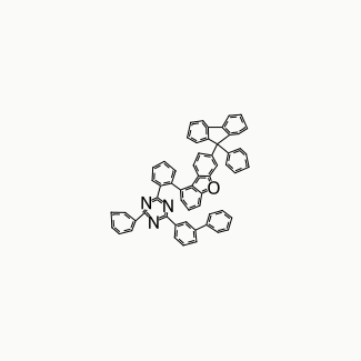 c1ccc(-c2cccc(-c3nc(-c4ccccc4)nc(-c4ccccc4-c4cccc5oc6cc(C7(c8ccccc8)c8ccccc8-c8ccccc87)ccc6c45)n3)c2)cc1